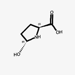 O=C(O)[C@@H]1CC[C@@H](O)N1